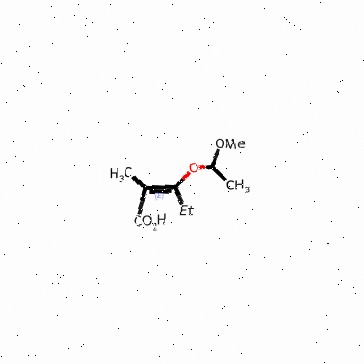 CC/C(OC(C)OC)=C(/C)C(=O)O